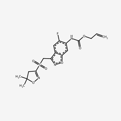 C=CCOC(=O)Nc1cc2onc(CS(=O)(=O)C3=NOC(C)(C)C3)c2cc1F